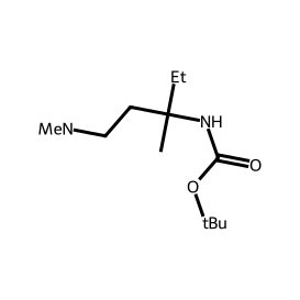 CCC(C)(CCNC)NC(=O)OC(C)(C)C